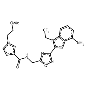 COCCn1ccc(C(=O)NCc2nc(-c3cc4c(N)cccc4n3CC(F)(F)F)no2)c1